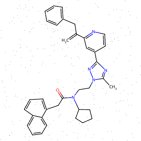 C=C(Cc1ccccc1)c1cc(-c2nc(C)n(CCN(C(=O)Cc3cccc4ccccc34)C3CCCC3)n2)ccn1